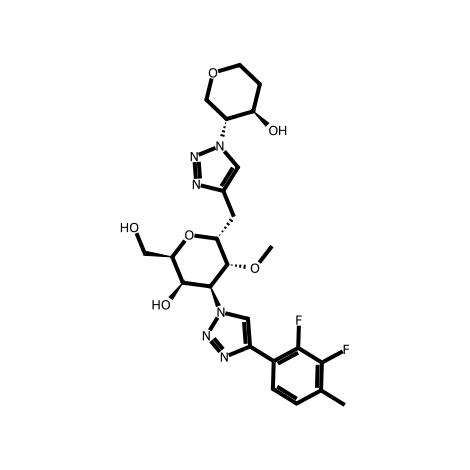 CO[C@@H]1[C@@H](n2cc(-c3ccc(C)c(F)c3F)nn2)[C@@H](O)[C@@H](CO)O[C@@H]1Cc1cn([C@@H]2COCC[C@H]2O)nn1